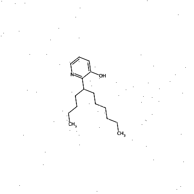 CCCCCCC(CCCC)c1ncccc1O